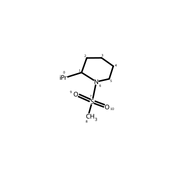 CC(C)C1CCCCN1S(C)(=O)=O